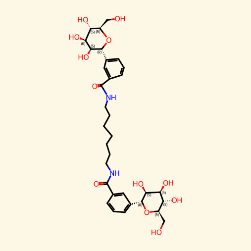 O=C(NCCCCCCCNC(=O)c1cccc([C@H]2O[C@H](CO)[C@@H](O)[C@H](O)[C@@H]2O)c1)c1cccc([C@H]2O[C@H](CO)[C@@H](O)[C@H](O)[C@@H]2O)c1